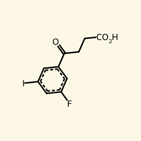 O=C(O)CCC(=O)c1cc(F)cc(I)c1